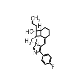 C=CC[C@]1(O)C(C)[C@]23Cn4cnc(-c5ccc(F)cc5)c4C=C2CCC[C@@H]31